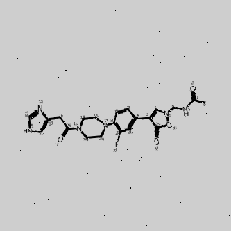 CC(=O)NCn1cc(-c2ccc(N3CCN(C(=O)Cc4c[nH]cn4)CC3)c(F)c2)c(=O)o1